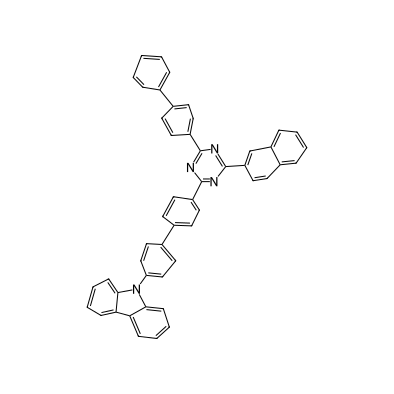 c1ccc(-c2ccc(-c3nc(-c4ccc(-c5ccc(-n6c7ccccc7c7ccccc76)cc5)cc4)nc(-c4ccc5ccccc5c4)n3)cc2)cc1